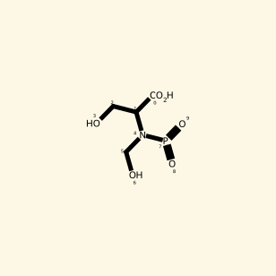 O=C(O)C(CO)N(CO)P(=O)=O